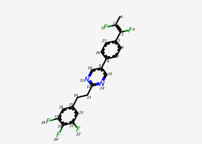 C/C(F)=C(\F)c1ccc(-c2cnc(CCc3cc(F)c(F)c(F)c3)nc2)cc1